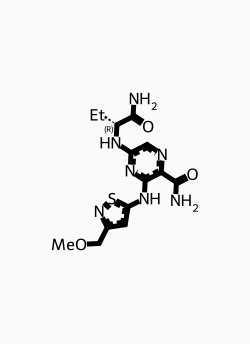 CC[C@@H](Nc1cnc(C(N)=O)c(Nc2cc(COC)ns2)n1)C(N)=O